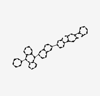 c1ccc(-c2c3ccccc3c(-c3ccc4cc(-c5ccc6c(c5)sc5cc7c(cc56)sc5ccccc57)ccc4c3)c3ccccc23)cc1